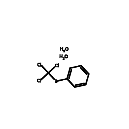 ClC(Cl)(Cl)[B]c1ccccc1.O.O